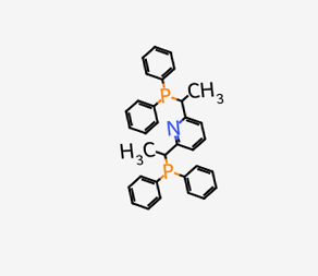 CC(c1cccc(C(C)P(c2ccccc2)c2ccccc2)n1)P(c1ccccc1)c1ccccc1